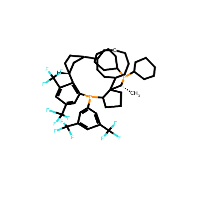 C[C@@H](P(C1CCCCC1)C1CCCCC1)C12CCCC1P(c1cc(C(F)(F)F)cc(C(F)(F)F)c1)c1cc(C(F)(F)F)cc(C(F)(F)F)c1[C@@H]1CCC(C1)C1CCCCCC2CC1